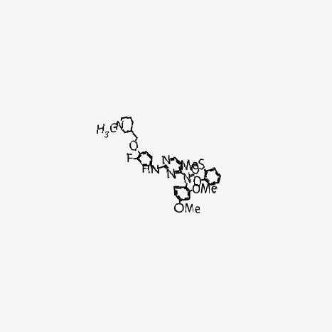 COc1ccc(N(C(=O)Oc2ccccc2SC)c2ccnc(Nc3ccc(OCC4CCCN(C)C4)c(F)c3)n2)c(OC)c1